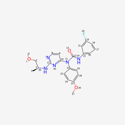 COC[C@H](C)Nc1nccc(N(C(=O)Nc2cccc(F)c2)c2ccc(OC)cc2)n1